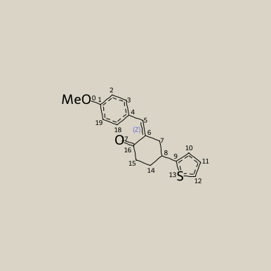 COc1ccc(/C=C2/CC(c3cccs3)CCC2=O)cc1